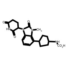 Cn1c(=O)n(C2CCC(=O)NC2=O)c2cccc(C3CCC(NC(=O)O)CC3)c21